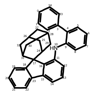 c1ccc(-c2ccccc2Nc2cccc3c2C2(c4ccccc4-3)C3CC4CC(C3)CC2C4)cc1